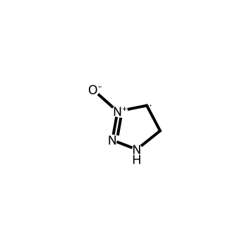 [O-][N+]1=NNC[CH]1